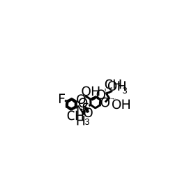 CC[C@@]1(CO)OC2(C=C(C(=O)O)C(S(=O)(=O)Nc3ccc(F)cc3C)CC2)O[C@H]1CO